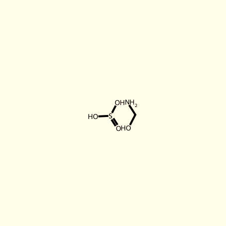 NCO.O=S(O)O